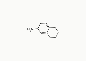 NC1C=C2CCCCC2=CC1